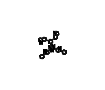 c1ccc(-c2ccc(-c3nc(-c4ccc(-c5ccccc5)nc4)nc(-c4cc(-c5ccc6cccnc6c5)cc(-c5ccc6cccnc6c5)c4)n3)cn2)cc1